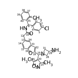 Cc1cc(Cl)ccc1C(NC(=O)Cc1ccc2oc(C(c3c(C)noc3C)N3CC(N)C3)cc2c1)c1ccccc1